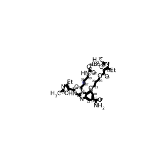 CCc1nc(C)oc1C(=O)Nc1nc2cc(C(N)=O)cc(OCCCOC(=O)c3oc(C)nc3CC)c2n1C/C=C/CNC(=O)OC(C)(C)C